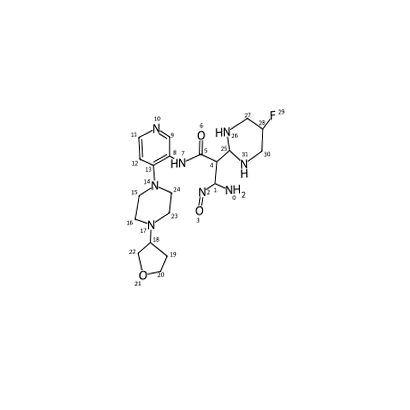 NC(N=O)C(C(=O)Nc1cnccc1N1CCN(C2CCOC2)CC1)C1NCC(F)CN1